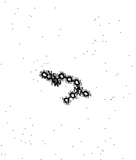 c1ccc(-c2ccc(-c3nc(-c4ccccc4)nc(-c4cccc(-c5ccc(-c6cccc(-c7nnnc8c7sc7nc9ccccc9cc78)c6)cc5)c4)n3)cc2)cc1